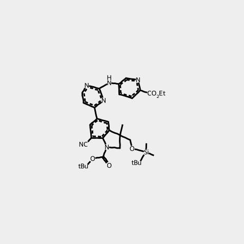 CCOC(=O)c1ccc(Nc2nccc(-c3cc(C#N)c4c(c3)C(C)(CO[Si](C)(C)C(C)(C)C)CN4C(=O)OC(C)(C)C)n2)cn1